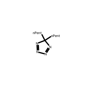 CCCCCC1(CCCCC)N=NN=N1